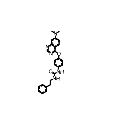 CN(C)c1ccc2c(Oc3ccc(NC(=O)NCCc4ccccc4)cc3)ncnc2c1